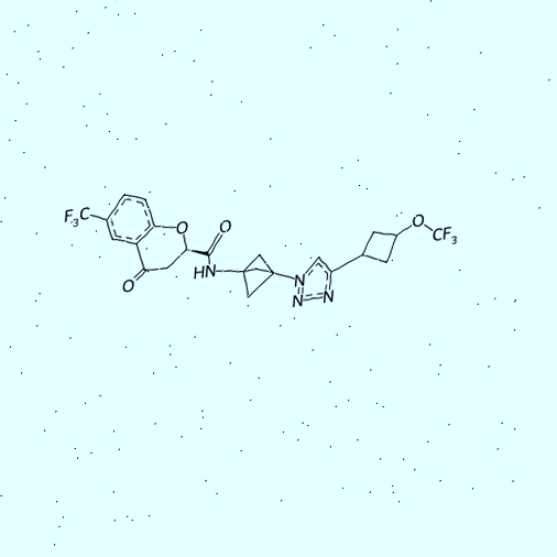 O=C1C[C@H](C(=O)NC23CC(n4cc(C5CC(OC(F)(F)F)C5)nn4)(C2)C3)Oc2ccc(C(F)(F)F)cc21